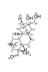 C[C@@]12CCC[C@@](C)(C=O)[C@H]1CC[C@@]13CC[C@@H](C[C@H]12)[C@@](O)(CO)C3